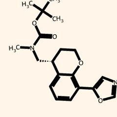 CN(C[C@@H]1CCOc2c(-c3cnco3)cccc21)C(=O)OC(C)(C)C